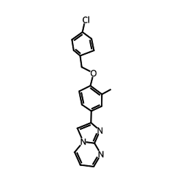 Cc1cc(-c2cn3cccnc3n2)ccc1OCc1ccc(Cl)cc1